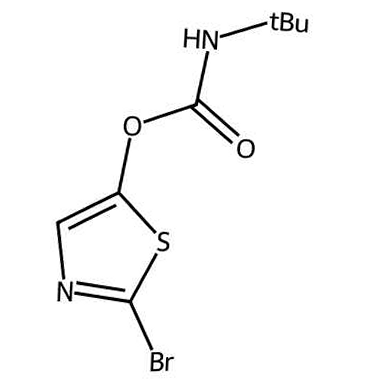 CC(C)(C)NC(=O)Oc1cnc(Br)s1